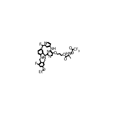 CCOc1cc(F)c(Cn2nc(-c3ncc(OCCCOC(=O)[C@H](C)NOC(=O)C(F)(F)F)c(Nc4ccnc(C(F)F)c4)n3)c3ccccc32)c(F)c1